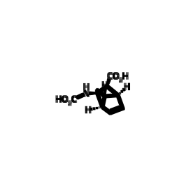 C[C@H]1[C@H]2C=C[C@@H]1[C@H](C(=O)O)[C@@H]2NC(=O)O